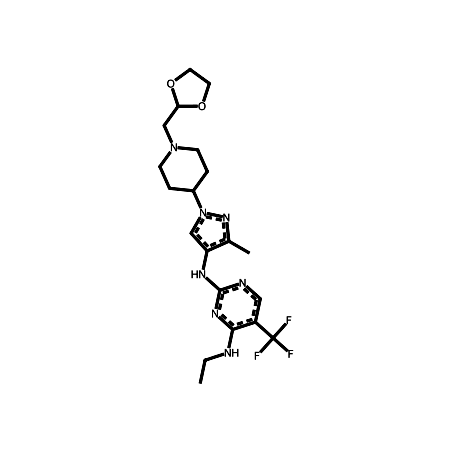 CCNc1nc(Nc2cn(C3CCN(CC4OCCO4)CC3)nc2C)ncc1C(F)(F)F